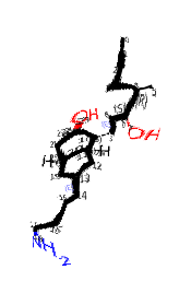 CC#CC[C@@H](C)[C@H](O)/C=C/[C@@H]1[C@H]2C/C(=C/CCCN)C[C@H]2C[C@H]1O